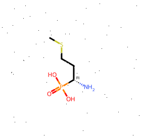 CSCC[C@H](N)P(=O)(O)O